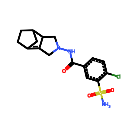 NS(=O)(=O)c1cc(C(=O)NN2CC3=C4CCC(C4)C3C2)ccc1Cl